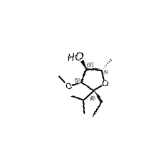 CC[C@]1(C(C)C)O[C@@H](C)[C@H](O)[C@@H]1OC